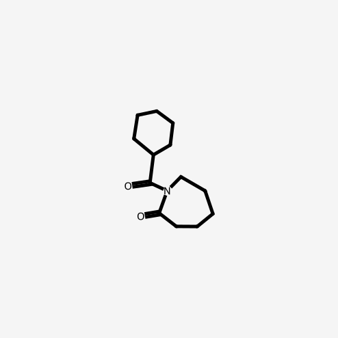 O=C1CCCCCN1C(=O)C1CCCCC1